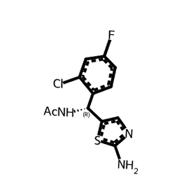 CC(=O)N[C@@H](c1cnc(N)s1)c1ccc(F)cc1Cl